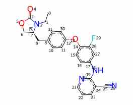 CCN1C(=O)OC[C@@H]1Cc1ccc(Oc2ccc(Nc3ncccc3C#N)cc2F)cc1